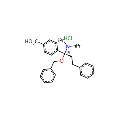 CC(C)N(C(C)C)[C@](CCc1ccccc1)(OCc1ccccc1)c1ccc(C(=O)O)cc1.Cl